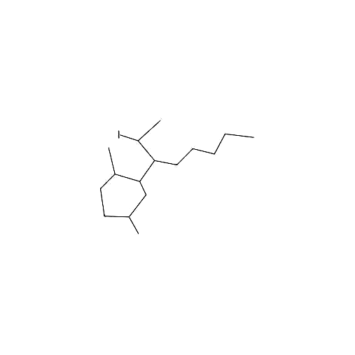 CCCCCC(C(C)I)C1CC(C)CCC1C